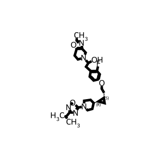 Cc1nc2c(o1)CCN(C(O)Cc1ccc(OCC[C@@H]3C[C@@H]3C3CCN(c4nc(C(C)C)no4)CC3)cc1F)C2